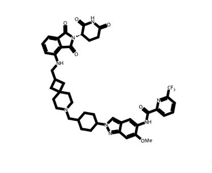 COc1cc2nn(C3CCC(CN4CCC5(CC4)CC(CNc4cccc6c4C(=O)N([C@H]4CCC(=O)NC4=O)C6=O)C5)CC3)cc2cc1NC(=O)c1cccc(C(F)(F)F)n1